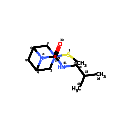 CSN1CC2CC(C1)N2C(=O)NCC(C)C